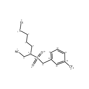 CCSCCCN(CC#N)S(=O)(=O)Cc1cccc(C(F)(F)F)c1